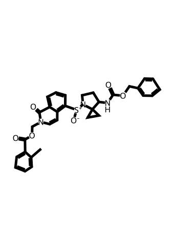 Cc1ccccc1C(=O)OCn1ccc2c([S+]([O-])N3CCC(NC(=O)OCc4ccccc4)C34CC4)cccc2c1=O